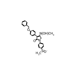 CN(O)C1=C(c2ccc(OCc3ccccc3)cc2)C(=O)N(c2ccc([S+](C)[O-])cc2)C1